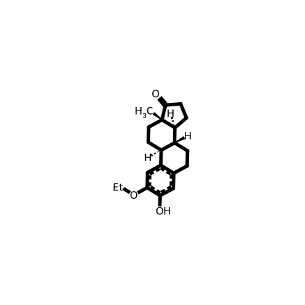 CCOc1cc2c(cc1O)CC[C@@H]1[C@@H]2CC[C@]2(C)C(=O)CC[C@@H]12